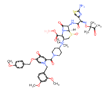 BOC(=O)C1=C([N+](C)(C)C2CCN(C(=O)c3cc(=O)c(OCc4ccc(OC)cc4)cn3Cc3ccc(OC)cc3OC)CC2)C[S+]([O-])[C@@H]2[C@H](NC(=O)/C(=N\OC(C)(C)C(C)=O)c3csc(N)n3)C(=O)N12